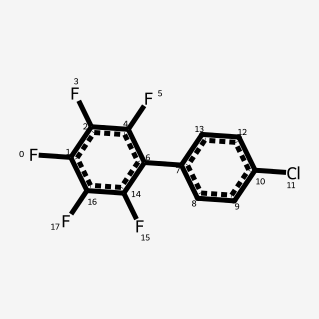 Fc1c(F)c(F)c(-c2ccc(Cl)cc2)c(F)c1F